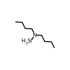 CCCCN([SiH3])CCCC